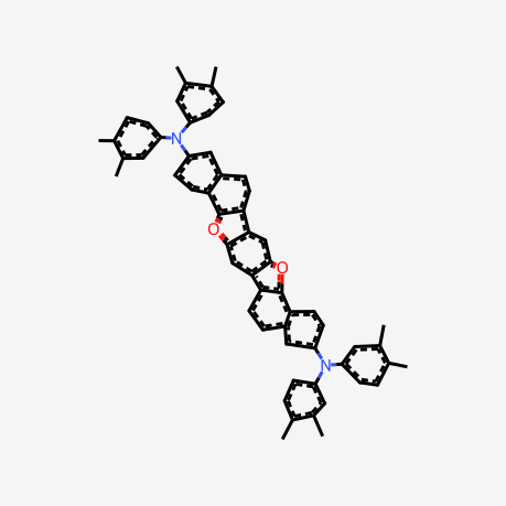 Cc1ccc(N(c2ccc(C)c(C)c2)c2ccc3c(ccc4c5cc6oc7c8ccc(N(c9ccc(C)c(C)c9)c9ccc(C)c(C)c9)cc8ccc7c6cc5oc34)c2)cc1C